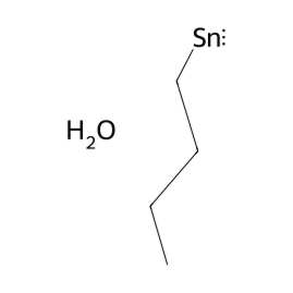 CCC[CH2][Sn].O